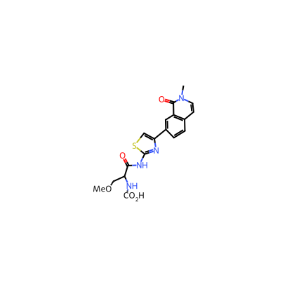 COCC(NC(=O)O)C(=O)Nc1nc(-c2ccc3ccn(C)c(=O)c3c2)cs1